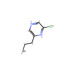 CC(C)CCc1cncc(Cl)n1